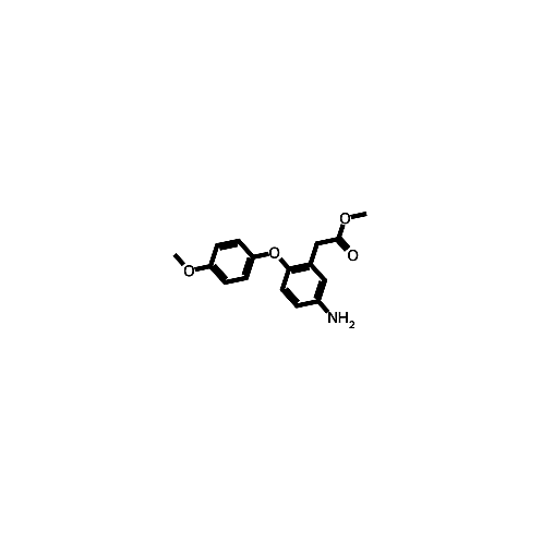 COC(=O)Cc1cc(N)ccc1Oc1ccc(OC)cc1